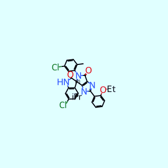 CCOc1ccccc1-c1nc2c(n1C(C)C)[C@]1(C(=O)Nc3cc(Cl)ccc31)N(c1cc(Cl)ccc1C)C2=O